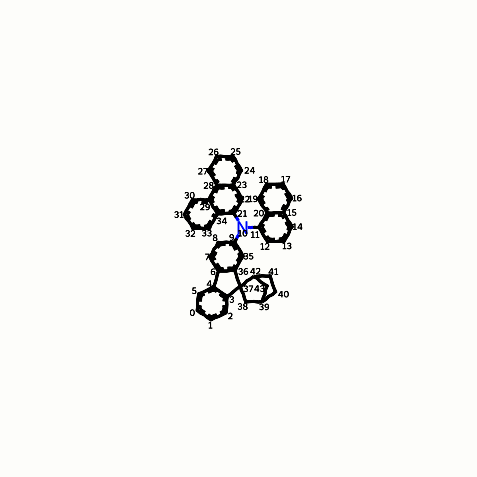 c1ccc2c(c1)-c1ccc(N(c3cccc4ccccc34)c3cc4ccccc4c4ccccc34)cc1C21CC2CCC1C2